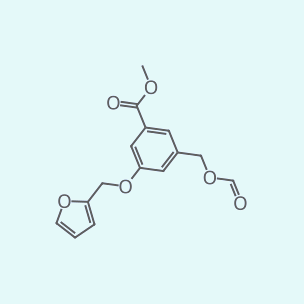 COC(=O)c1cc(COC=O)cc(OCc2ccco2)c1